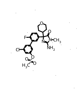 CN1C(=O)C(c2ccc(F)c(-c3cc(Cl)cc(OS(C)(=O)=O)c3)c2)(C2CCOCC2)N=C1N